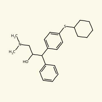 CN(C)CC(O)C(c1ccccc1)c1ccc(SC2CCCCC2)cc1